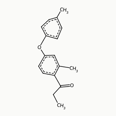 CCC(=O)c1ccc(Oc2ccc(C)cc2)cc1C